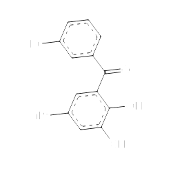 CCc1cccc(C(=O)c2cc(C(C)C)cc(C)c2O)c1